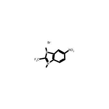 Cn1c(C(F)(F)F)[n+](C)c2ccc([N+](=O)[O-])cc21.[Br-]